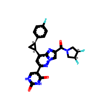 O=C(c1cn2nc(-c3c[nH]c(=O)[nH]c3=O)cc([C@H]3C[C@@H]3c3ccc(F)cc3)c2n1)N1C[C@@H](F)[C@@H](F)C1